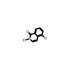 CCn1ccc2c(Cl)cccc2c1=O